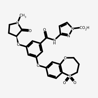 CN1CC[C@H](Oc2cc(Oc3ccc4c(c3)OCCCS4(=O)=O)cc(C(=O)Nc3ccn(C(=O)O)n3)c2)C1=O